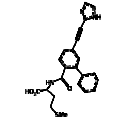 CSCC[C@H](NC(=O)c1ccc(C#Cc2ncc[nH]2)cc1-c1ccccc1)C(=O)O